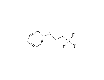 FC(F)(F)CC[CH]c1ccccc1